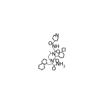 CC1CCN(C(Cc2cccc3ccccc23)C(N)=O)C(=O)C(c2cccc(Cl)c2)N1C(=O)CNC(=O)c1ccncc1